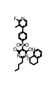 CCCCc1nc(=O)c(S(=O)(=O)c2ccc(-c3ccnc(F)c3C)cc2)c(O)n1[C@H]1CCCc2ccccc21